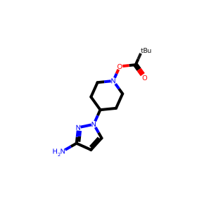 CC(C)(C)C(=O)ON1CCC(n2ccc(N)n2)CC1